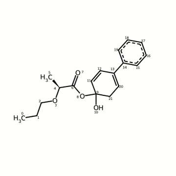 CCCO[C@@H](C)C(=O)OC1(O)C=CC(c2ccccc2)=CC1